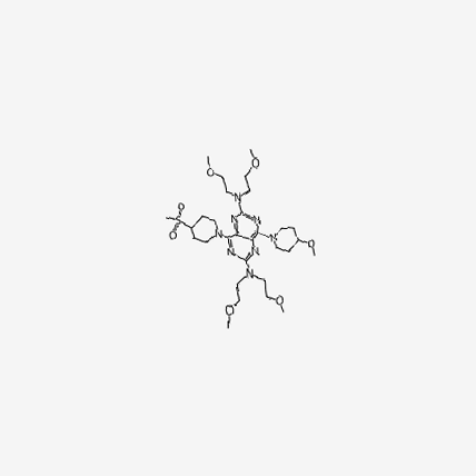 COCCN(CCOC)c1nc(N2CCC(S(C)(=O)=O)CC2)c2nc(N(CCOC)CCOC)nc(N3CCC(OC)CC3)c2n1